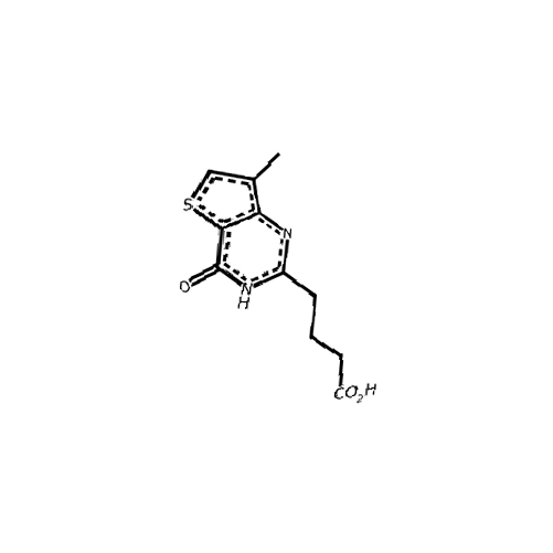 Cc1csc2c(=O)[nH]c(CCCC(=O)O)nc12